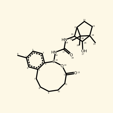 Cc1ccc2c(c1)CCCCCC(=O)OB2NC(=O)NC1C2CCC(C)(C1O)C2(C)C